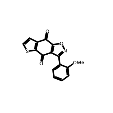 COc1ccccc1-c1noc2c1C(=O)c1sccc1C2=O